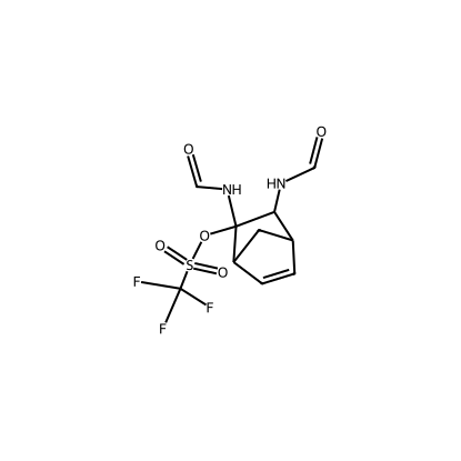 O=CNC1C2C=CC(C2)C1(NC=O)OS(=O)(=O)C(F)(F)F